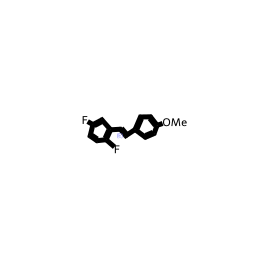 COc1ccc(/C=C/c2cc(F)ccc2F)cc1